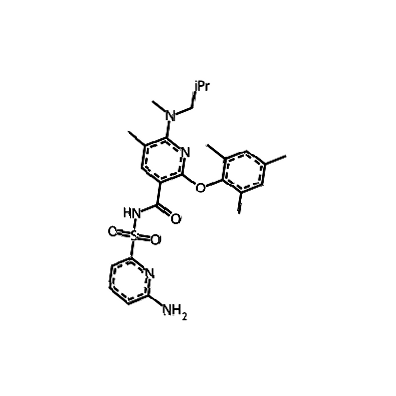 Cc1cc(C)c(Oc2nc(N(C)CC(C)C)c(C)cc2C(=O)NS(=O)(=O)c2cccc(N)n2)c(C)c1